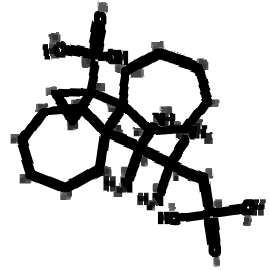 NC(N)(CP(=O)(O)O)C(N)(N)C1(C2(C3(P(=O)(O)O)CC3)CCCCCC2)CCCCCC1